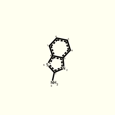 Nc1nc2[c]cccc2s1